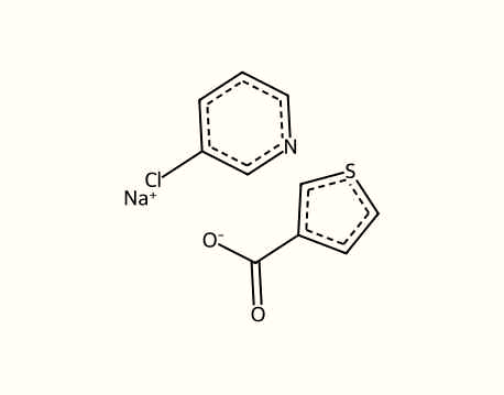 Clc1cccnc1.O=C([O-])c1ccsc1.[Na+]